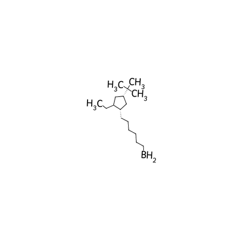 BCCCCCC[C@H]1C[C@@H](C(C)(C)C)CC1CC